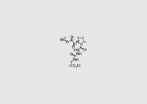 CCOC(=O)CNC(=O)NNC(=O)[C@@H]1CCCN1C(=O)C(=O)OC(C)(C)C